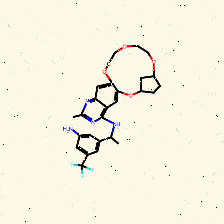 Cc1nc(NC(C)c2cc(N)cc(C(F)(F)F)c2)c2cc3c(cc2n1)OCCOCCOC1CCC(C1)O3